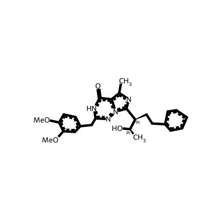 COc1ccc(Cc2nn3c([C@@H](CCc4ccccc4)[C@@H](C)O)nc(C)c3c(=O)[nH]2)cc1OC